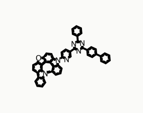 c1ccc(-c2ccc(-c3nc(-c4ccccc4)nc(-c4ccc(-n5c6ccc7oc8ccc9c%10ccccc%10n%10c%11cccc5c%11c6c7c8c9%10)nc4)n3)cc2)cc1